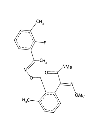 CNC(=O)/C(=N/OC)c1cccc(C)c1CO/N=C(\C)c1cccc(C)c1F